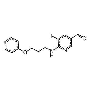 O=Cc1cnc(NCCCOc2ccccc2)c(I)c1